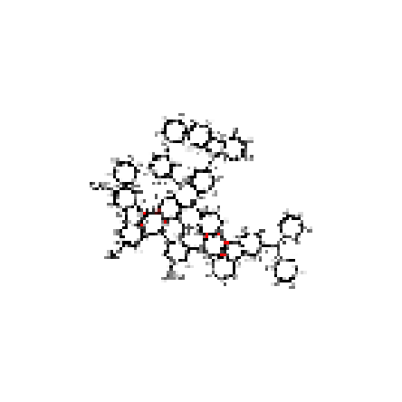 CC(C)(C)c1cc(-c2ccccc2)c(N2c3cc(-n4c5ccccc5c5cc(N(c6ccccc6)c6ccccc6)ccc54)ccc3B3c4ccc(-n5c6ccccc6c6ccccc65)cc4N(c4cc(-c5ccccc5)cc(-c5ccccc5)c4)c4cc(-n5c6ccc(C(C)(C)C)cc6c6cc(C(C)(C)C)ccc65)cc2c43)c(-c2ccccc2)c1